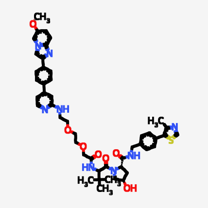 COc1ccc2nc(-c3ccc(-c4ccnc(NCCOCCOCC(=O)NC(C(=O)N5C[C@H](O)C[C@H]5C(=O)NCc5ccc(-c6scnc6C)cc5)C(C)(C)C)c4)cc3)cn2c1